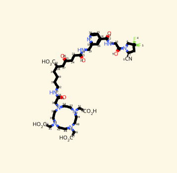 N#C[C@@H]1CC(F)(F)CN1C(=O)CNC(=O)c1ccnc(CNC(=O)CCC(=O)CC(CCCCNC(=O)CN2CCN(CC(=O)O)CCN(CC(=O)O)CCN(CC(=O)O)CC2)C(=O)O)c1